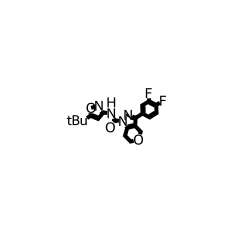 CC(C)(C)c1cc(NC(=O)n2nc(-c3ccc(F)c(F)c3)c3c2CCOC3)no1